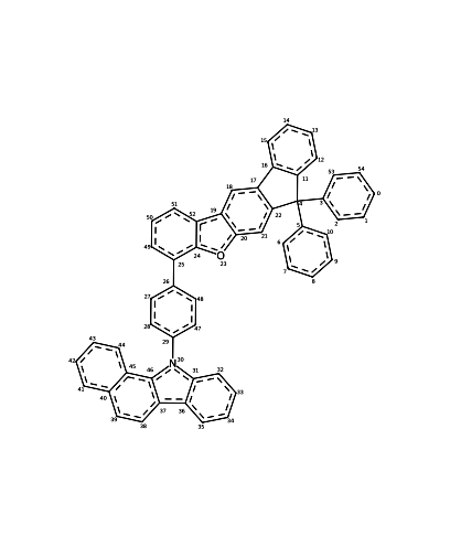 c1ccc(C2(c3ccccc3)c3ccccc3-c3cc4c(cc32)oc2c(-c3ccc(-n5c6ccccc6c6ccc7ccccc7c65)cc3)cccc24)cc1